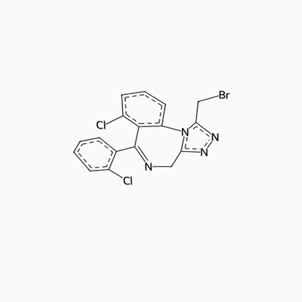 Clc1ccccc1C1=NCc2nnc(CBr)n2-c2cccc(Cl)c21